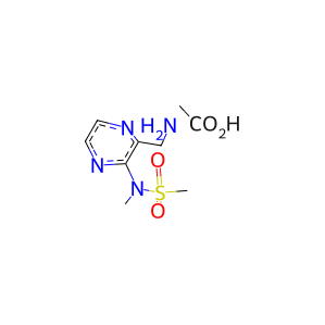 CC(=O)O.CN(c1nccnc1CN)S(C)(=O)=O